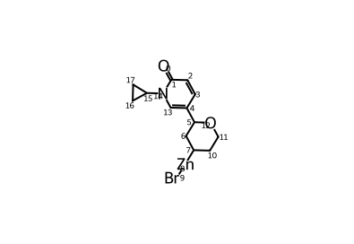 O=c1ccc(C2C[CH]([Zn][Br])CCO2)cn1C1CC1